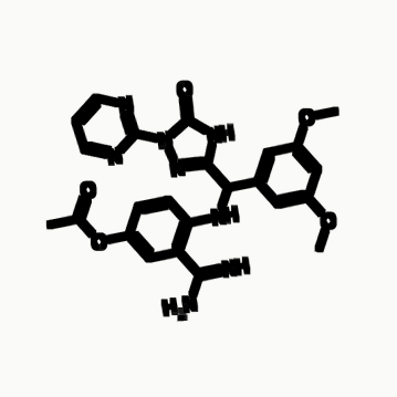 COc1cc(OC)cc(C(Nc2ccc(OC(C)=O)cc2C(=N)N)c2nn(-c3ncccn3)c(=O)[nH]2)c1